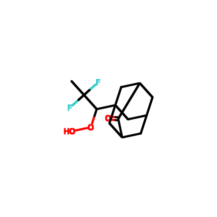 CC(F)(F)C(OO)C12CC3CC(C1)C(=O)C(C3)C2